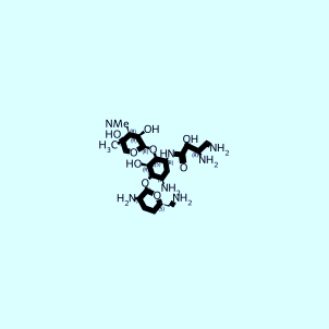 CN[C@@H]1[C@@H](O)[C@@H](O[C@@H]2[C@H](O)[C@H](O[C@H]3O[C@H](CN)CC[C@H]3N)[C@@H](N)C[C@H]2NC(=O)[C@@H](O)[C@H](N)CN)OC[C@]1(C)O